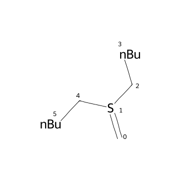 C=S(CCCCC)CCCCC